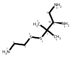 CC(C)(SSCCN)[C@H](N)CN